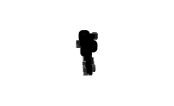 C=CC(=O)C(=C)C(=O)OCCCC=CC